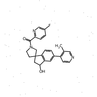 Cc1cnccc1-c1ccc2c(c1)C(O)CC21CCN(C(=O)c2ccc(F)cn2)C1